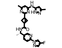 Cc1cc(Nc2cc(C)nc(C34CC(C(=O)N[C@@H](C)c5ccc(-n6cc(F)cn6)nc5)(C3)C4)n2)[nH]n1